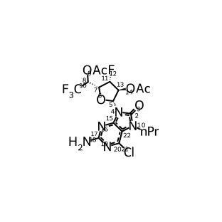 CCCn1c(=O)n([C@@H]2O[C@H](C(OC(C)=O)C(F)(F)F)[C@H](F)[C@H]2OC(C)=O)c2nc(N)nc(Cl)c21